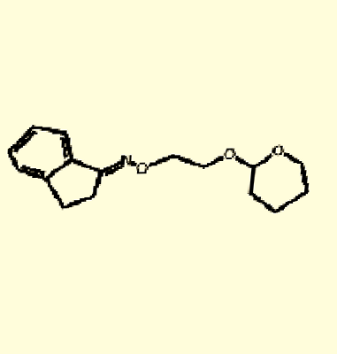 c1ccc2c(c1)CC/C2=N\OCCOC1CCCCO1